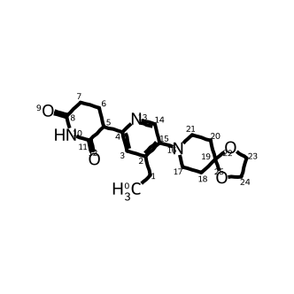 CCc1cc(C2CCC(=O)NC2=O)ncc1N1CCC2(CC1)OCCO2